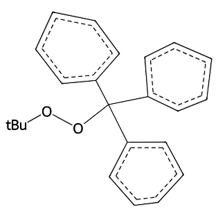 CC(C)(C)OOC(c1ccccc1)(c1ccccc1)c1ccccc1